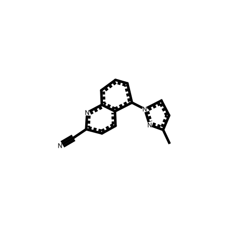 Cc1ccn(-c2cccc3nc(C#N)ccc23)n1